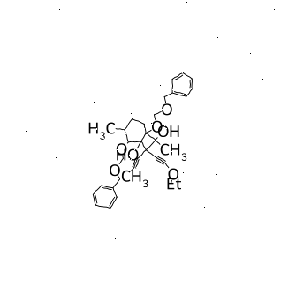 CC#CC1(C#COCC)C(C)(O)C2(OCOCc3ccccc3)CCC(C)C(OCOCc3ccccc3)C12O